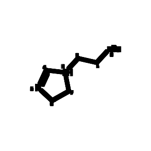 CCCCCC[SH]1C=N[CH]C1